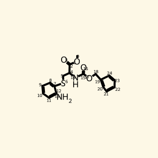 COC(=O)C(CSc1ccccc1N)NC(=O)OCc1ccccc1